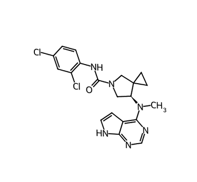 CN(c1ncnc2[nH]ccc12)[C@H]1CN(C(=O)Nc2ccc(Cl)cc2Cl)CC12CC2